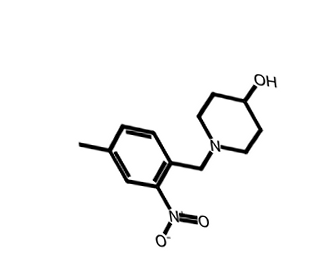 Cc1ccc(CN2CCC(O)CC2)c([N+](=O)[O-])c1